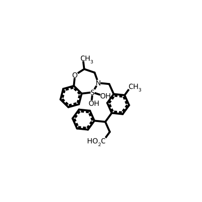 Cc1ccc(C(CC(=O)O)c2ccccc2)cc1CN1CC(C)Oc2ccccc2S1(O)O